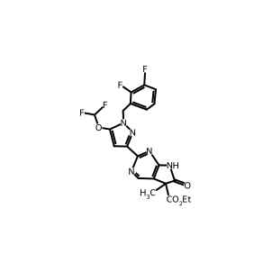 CCOC(=O)C1(C)C(=O)Nc2nc(-c3cc(OC(F)F)n(Cc4cccc(F)c4F)n3)ncc21